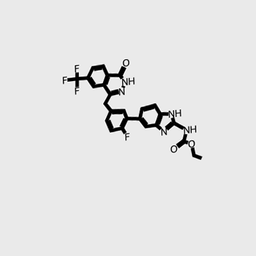 CCOC(=O)Nc1nc2cc(-c3cc(Cc4n[nH]c(=O)c5ccc(C(F)(F)F)cc45)ccc3F)ccc2[nH]1